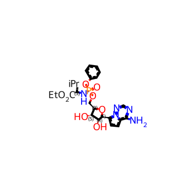 CCOC(=O)[C@@H](NP(=O)(OC[C@H]1O[C@@H](c2ccc3c(N)ncnn23)[C@H](O)[C@@H]1O)Oc1ccccc1)C(C)C